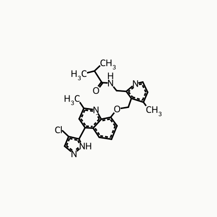 Cc1cc(-c2[nH]ncc2Cl)c2cccc(OCc3c(C)ccnc3CNC(=O)C(C)C)c2n1